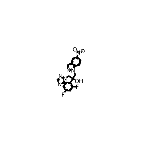 O=[N+]([O-])c1ccc2c(cnn2CC(O)(Cn2cncn2)c2ccc(F)cc2F)c1